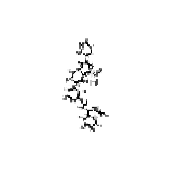 CNc1nc(-c2cccnc2)nc2ccc(-c3cccc(OCc4nn(C)c5ccccc45)c3)cc12